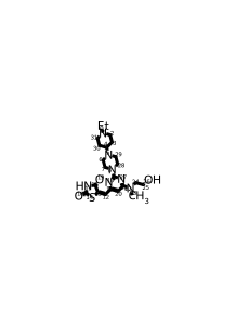 CCN1CCC(N2CCN(c3nc(C=C4SC(=O)NC4=O)cc(N(C)CCO)n3)CC2)CC1